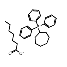 CCCCCCC(=O)[O-].c1ccc([P+](c2ccccc2)(c2ccccc2)C2CCCCCC2)cc1